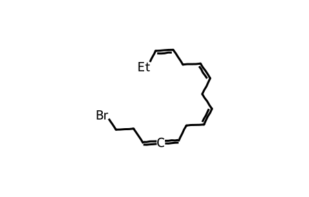 CC/C=C\C/C=C\C/C=C\CC=C=CCCBr